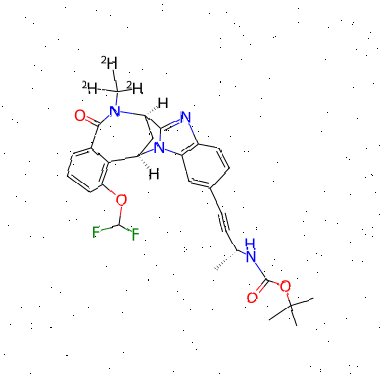 [2H]C([2H])([2H])N1C(=O)c2cccc(OC(F)F)c2[C@H]2C[C@@H]1c1nc3ccc(C#C[C@@H](C)NC(=O)OC(C)(C)C)cc3n12